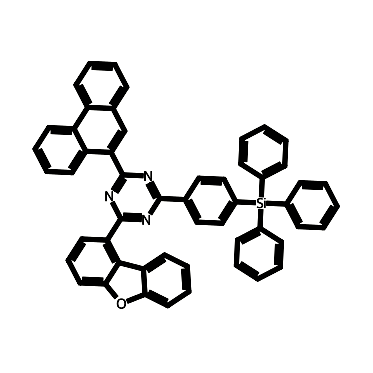 c1ccc([Si](c2ccccc2)(c2ccccc2)c2ccc(-c3nc(-c4cc5ccccc5c5ccccc45)nc(-c4cccc5oc6ccccc6c45)n3)cc2)cc1